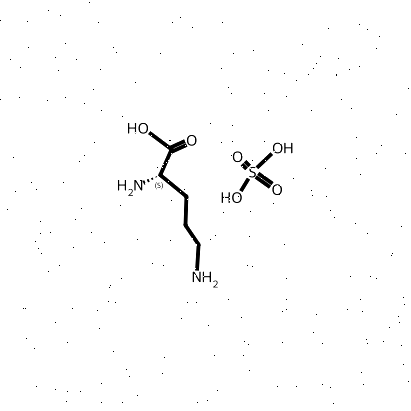 NCCC[C@H](N)C(=O)O.O=S(=O)(O)O